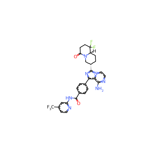 Nc1nccn2c([C@H]3CC[C@@H]4N(C3)C(=O)CCC4(F)F)nc(-c3ccc(C(=O)Nc4cc(C(F)(F)F)ccn4)cc3)c12